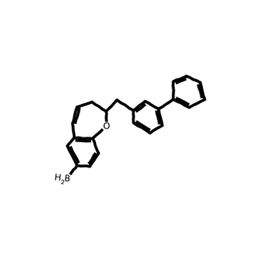 Bc1ccc2c(c1)C=CCC(Cc1cccc(-c3ccccc3)c1)O2